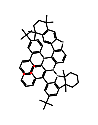 CC(C)(C)c1ccc(N2c3cc4ccccc4c4c3B(c3ccc5sc6cc7c(cc6c5c32)C(C)(C)CCC7(C)C)N2c3c-4cc(C(C)(C)C)cc3C3(C)CCCCC23C)c(-c2ccccc2)c1